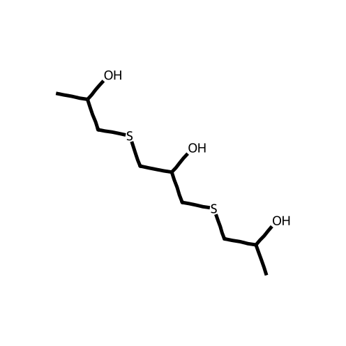 CC(O)CSCC(O)CSCC(C)O